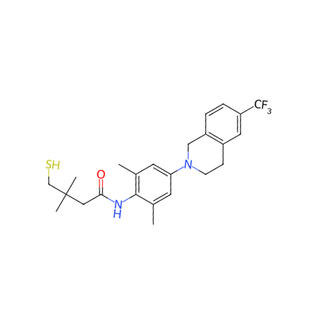 Cc1cc(N2CCc3cc(C(F)(F)F)ccc3C2)cc(C)c1NC(=O)CC(C)(C)CS